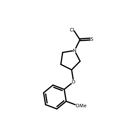 COc1ccccc1OC1CCN(C(=S)Cl)C1